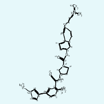 CN(C)CCOc1ccc2cc(OC(=O)N3CC[C@@H](NC(=O)c4cc(-c5cnn(C)c5)cnc4N)C3)ccc2c1